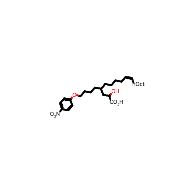 CCCCCCCC/C=C\CCCCC(CCCCOc1ccc([N+](=O)[O-])cc1)CC(O)C(=O)O